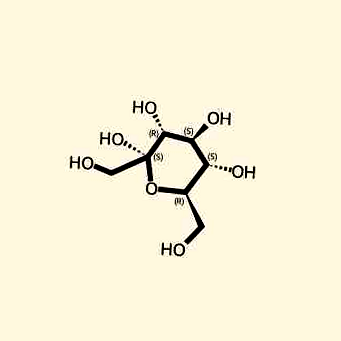 OC[C@H]1O[C@@](O)(CO)[C@H](O)[C@@H](O)[C@@H]1O